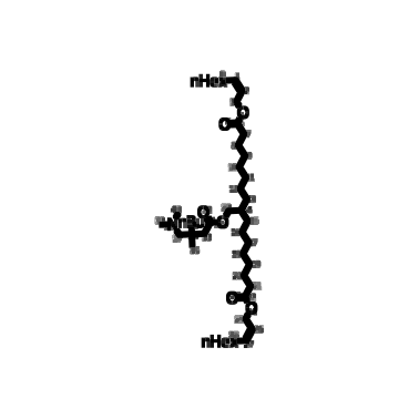 CCCCCC/C=C\COC(=O)CCCCCCCC(CCCCCCCC(=O)OC/C=C\CCCCCC)COC(=O)CC(C)(CCCC)CN(C)C